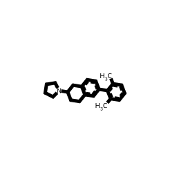 Cc1cccc(C)c1-c1ccc2c(c1)CCC(N1CCCC1)C2